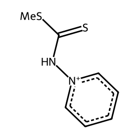 CSC(=S)N[n+]1ccccc1